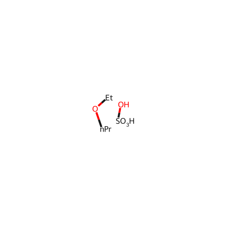 CCCOCC.O=S(=O)(O)O